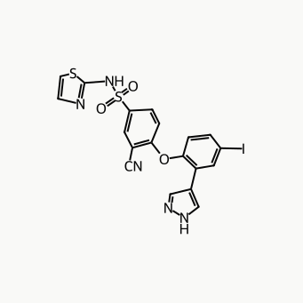 N#Cc1cc(S(=O)(=O)Nc2nccs2)ccc1Oc1ccc(I)cc1-c1cn[nH]c1